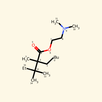 CCC(C)CC(C)(C(=O)OCCN(C)C)C(C)(C)CC